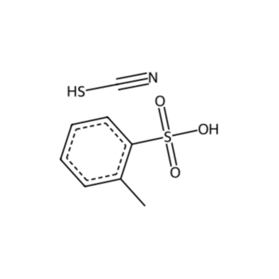 Cc1ccccc1S(=O)(=O)O.N#CS